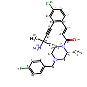 C[C@@H]1CN(Cc2ccc(F)cc2)CCN1C(=O)/C=C/c1ccc(Cl)cc1C#CC(C)(C)N